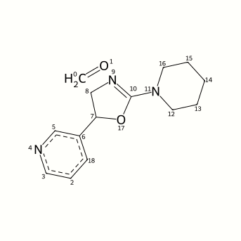 C=O.c1cncc(C2CN=C(N3CCCCC3)O2)c1